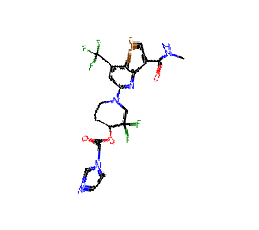 CNC(=O)c1csc2c(C(F)(F)F)cc(N3CCC(OC(=O)n4ccnc4)C(F)(F)C3)nc12